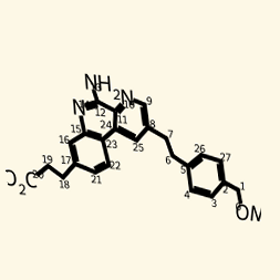 COCc1ccc(CCc2cnc3c(N)nc4cc(CCC(=O)O)ccc4c3c2)cc1